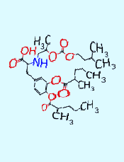 CCCC(C)C(=O)Oc1ccc(C[C@H](NCC(C)OC(=O)OCCC(C)C)C(=O)O)cc1OC(=O)C(C)CCC